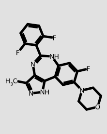 Cc1n[nH]c2c1N=C(c1c(F)cccc1F)Nc1cc(F)c(N3CCOCC3)cc1-2